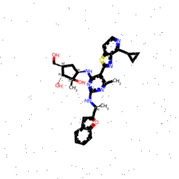 Cc1nc(N[C@H](C)c2cc3ccccc3o2)nc(N[C@@H]2C[C@H](CO)[C@@H](O)[C@@]2(C)O)c1-c1nc2c(C3CC3)nccc2s1